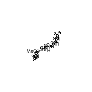 C=C1C[C@H]2C=Nc3cc(OCCCC(=O)Nc4cn(C)c(C(=O)Nc5cc(C(=O)Nc6cc(C(=O)n7ncc8ccc(C(C)(C)CCC)cc87)n(C)c6)n(C)c5)n4)c(OC)cc3C(=O)N2C1